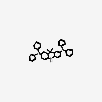 CC1(C)C2CC(N(c3ccccc3)c3ccccc3)CC=C2NC2C=CC(N(c3ccccc3)c3ccccc3)=CC21